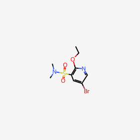 CCOc1ncc(Br)cc1S(=O)(=O)N(C)C